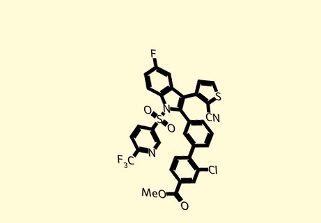 COC(=O)c1ccc(-c2cccc(-c3c(-c4ccsc4C#N)c4cc(F)ccc4n3S(=O)(=O)c3ccc(C(F)(F)F)nc3)c2)c(Cl)c1